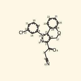 N#CCC(=O)c1nn(-c2cccc(Cl)c2)c2c1COc1ccccc1-2